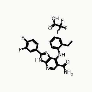 CCc1ccccc1Nc1c(C(N)=O)cnc2[nH]c(-c3ccc(F)c(F)c3)nc12.O=C(O)C(F)(F)F